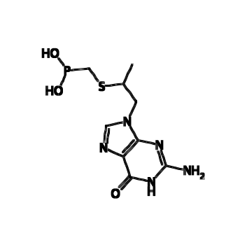 CC(Cn1cnc2c(=O)[nH]c(N)nc21)SCP(O)O